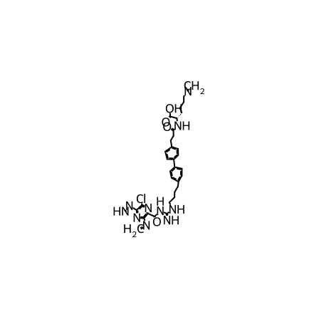 C=NCCCC[C@H](NC(=O)CCc1ccc(-c2ccc(CCCCNC(=N)NC(=O)c3nc(Cl)c(N=N)nc3N=C)cc2)cc1)C(=O)O